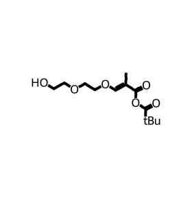 CC(=COCCOCCO)C(=O)OC(=O)C(C)(C)C